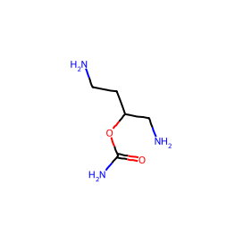 NCCC(CN)OC(N)=O